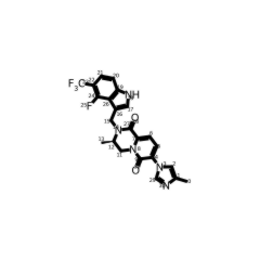 Cc1cn(-c2ccc3n(c2=O)C[C@@H](C)N(Cc2c[nH]c4ccc(C(F)(F)F)c(F)c24)C3=O)cn1